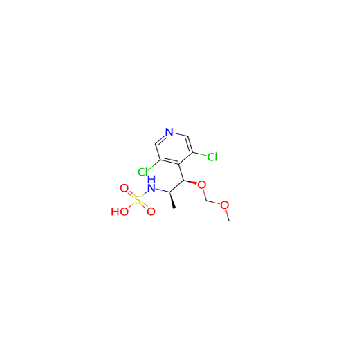 COCO[C@H](c1c(Cl)cncc1Cl)[C@@H](C)NS(=O)(=O)O